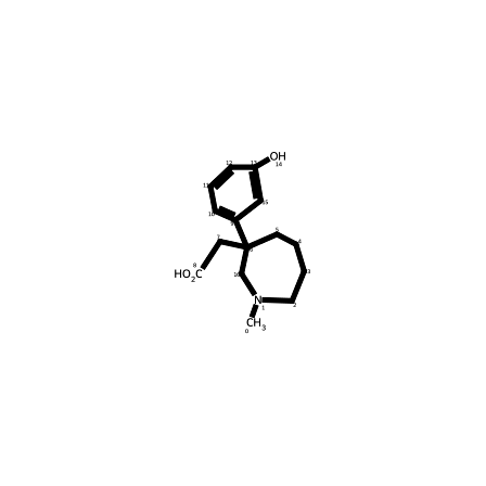 CN1CCCCC(CC(=O)O)(c2cccc(O)c2)C1